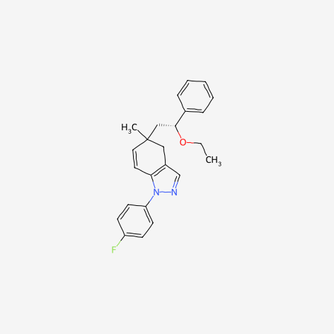 CCO[C@H](CC1(C)C=Cc2c(cnn2-c2ccc(F)cc2)C1)c1ccccc1